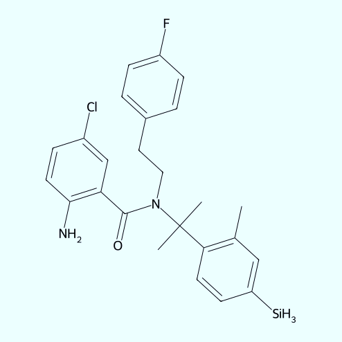 Cc1cc([SiH3])ccc1C(C)(C)N(CCc1ccc(F)cc1)C(=O)c1cc(Cl)ccc1N